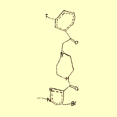 Cn1cc(Br)c(C(=O)N2CCN(CC(=O)c3cccc(F)c3)CC2)n1